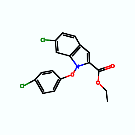 CCOC(=O)c1cc2ccc(Cl)cc2n1Oc1ccc(Cl)cc1